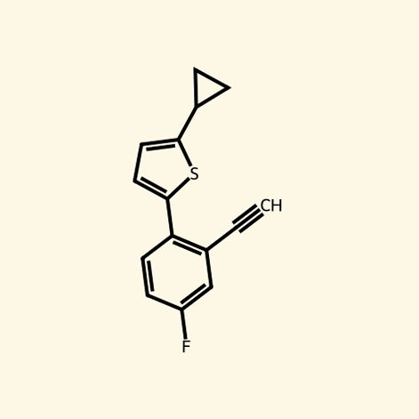 C#Cc1cc(F)ccc1-c1ccc(C2CC2)s1